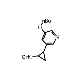 CCCCOc1cncc(C2CC2C=O)c1